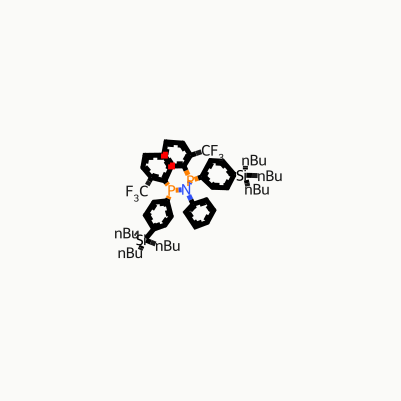 CCCC[Si](CCCC)(CCCC)c1ccc(P(c2ccccc2C(F)(F)F)N(c2ccccc2)P(c2ccc([Si](CCCC)(CCCC)CCCC)cc2)c2ccccc2C(F)(F)F)cc1